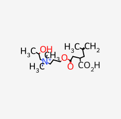 C=C(C)CC(CC(=O)OCCC[N+](C)(C)CC(C)O)C(=O)O